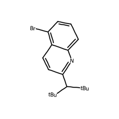 CC(C)(C)C(c1ccc2c(Br)cccc2n1)C(C)(C)C